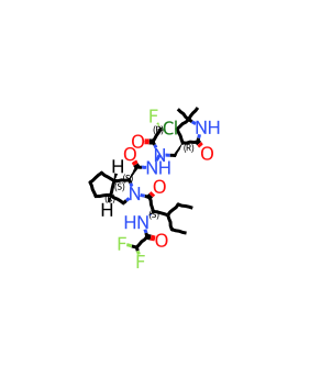 CCC(CC)[C@H](NC(=O)C(F)F)C(=O)N1C[C@@H]2CCC[C@@H]2[C@H]1C(=O)NN(C[C@H]1CC(C)(C)NC1=O)C(=O)[C@H](F)Cl